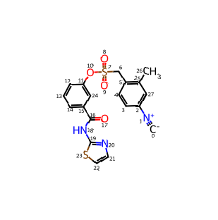 [C-]#[N+]c1ccc(CS(=O)(=O)Oc2cccc(C(=O)Nc3nccs3)c2)c(C)c1